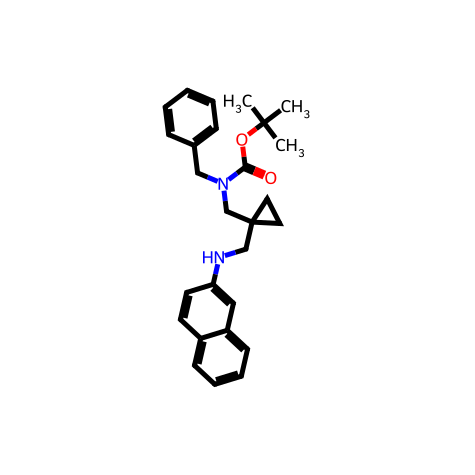 CC(C)(C)OC(=O)N(Cc1ccccc1)CC1(CNc2ccc3ccccc3c2)CC1